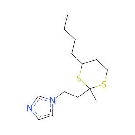 CCCCC1CCSC(C)(CCn2ccnc2)S1